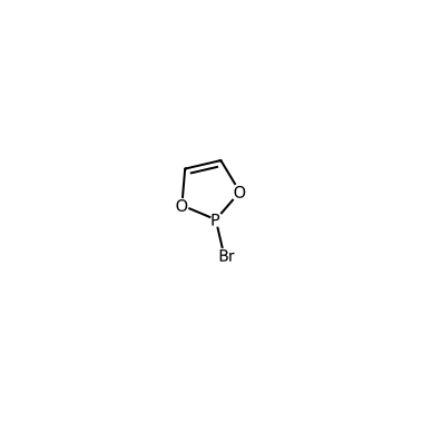 BrP1OC=CO1